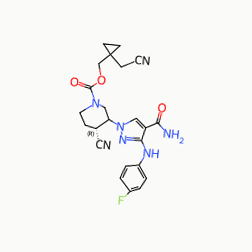 N#CCC1(COC(=O)N2CC[C@@H](C#N)C(n3cc(C(N)=O)c(Nc4ccc(F)cc4)n3)C2)CC1